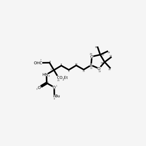 CCCCOC(=O)NC(CC=O)(CCCCB1OC(C)(C)C(C)(C)O1)C(=O)OCC